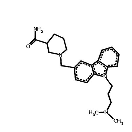 CN(C)CCCn1c2ccccc2c2cc(CN3CCCC(C(N)=O)C3)ccc21